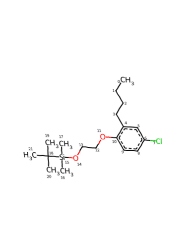 CCCCc1cc(Cl)ccc1OCCO[Si](C)(C)C(C)(C)C